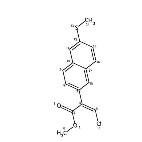 COC(=O)C(=CCl)c1ccc2cc(SC)ccc2c1